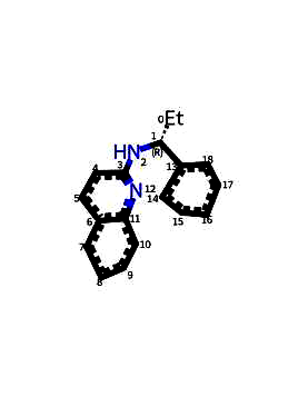 CC[C@@H](Nc1ccc2ccccc2n1)c1ccccc1